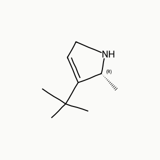 C[C@H]1NCC=C1C(C)(C)C